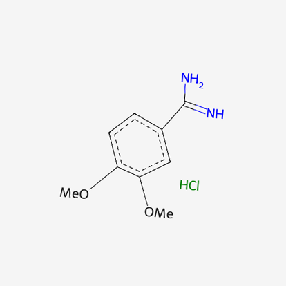 COc1ccc(C(=N)N)cc1OC.Cl